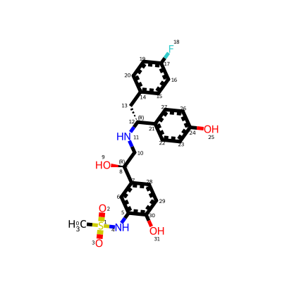 CS(=O)(=O)Nc1cc([C@@H](O)CN[C@H](Cc2ccc(F)cc2)c2ccc(O)cc2)ccc1O